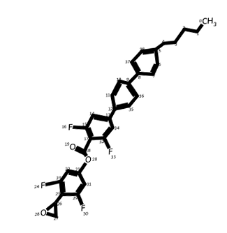 CCCCCc1ccc(-c2ccc(-c3cc(F)c(C(=O)Oc4cc(F)c(C5CO5)c(F)c4)c(F)c3)cc2)cc1